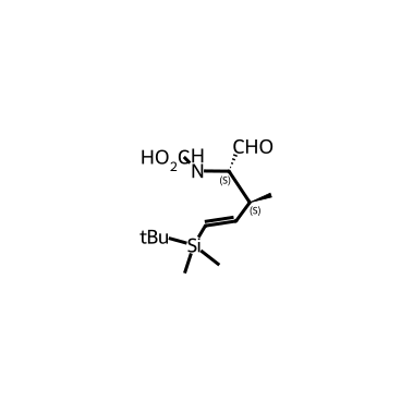 C[C@@H](C=C[Si](C)(C)C(C)(C)C)[C@@H](C=O)NC(=O)O